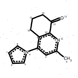 Cc1cc(-n2cccc2)c2c(n1)C(=O)CCC2